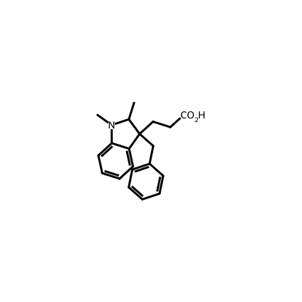 CC1N(C)c2ccccc2C1(CCC(=O)O)Cc1ccccc1